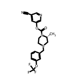 C[C@@H]1CN(Cc2cccc(OC(F)(F)F)c2)CCN1C(=O)Oc1cncc(C#N)c1